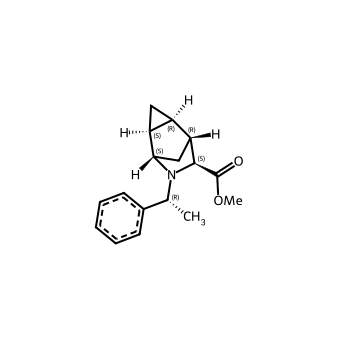 COC(=O)[C@@H]1[C@@H]2C[C@@H]([C@H]3C[C@@H]23)N1[C@H](C)c1ccccc1